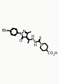 CC1=NN(c2ccc(C(C)(C)C)cc2)C(=O)C1=C(C)NNC(=S)N1CCC(C(=O)O)CC1